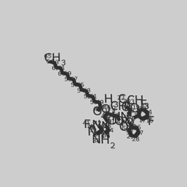 C#C[C@]1(CO[P@@](=O)(N[C@@H](Cc2cc(F)cc(F)c2)C(=O)OC(C)C)Oc2ccccc2)O[C@@H](n2cnc3c(N)nc(F)nc32)C[C@@H]1OC(=O)CCCCCCCCCCCCCCCCC